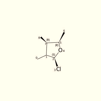 CC1[C@H](Cl)O[C@H](C)[C@@H]1C